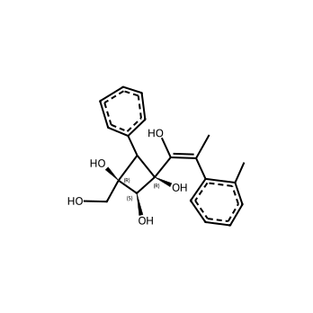 CC(=C(O)[C@@]1(O)C(c2ccccc2)[C@@](O)(CO)[C@@H]1O)c1ccccc1C